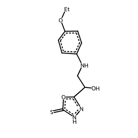 CCOc1ccc(NCC(O)c2n[nH]c(=S)o2)cc1